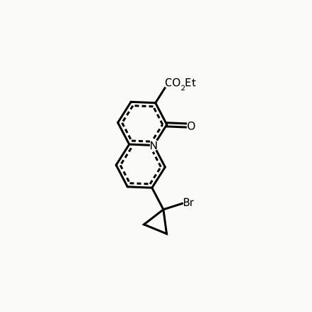 CCOC(=O)c1ccc2ccc(C3(Br)CC3)cn2c1=O